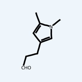 Cc1cc(CCC=O)cn1C